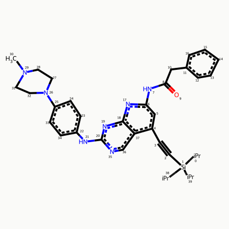 CC(C)[Si](C#Cc1cc(NC(=O)Cc2ccccc2)nc2nc(Nc3ccc(N4CCN(C)CC4)cc3)ncc12)(C(C)C)C(C)C